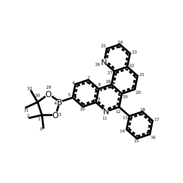 CC1(C)OB(c2ccc3c(c2)nc(-c2ccccc2)c2ccc4cccnc4c23)OC1(C)C